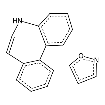 C1=Cc2ccccc2-c2ccccc2N1.c1cnoc1